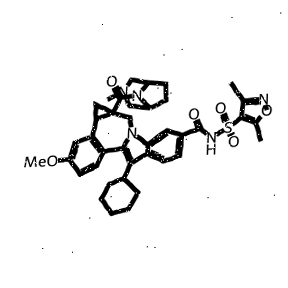 COc1ccc2c(c1)C1CC1(C(=O)N1C3CCC1CN(C)C3)Cn1c-2c(C2CCCCC2)c2ccc(C(=O)NS(=O)(=O)c3c(C)noc3C)cc21